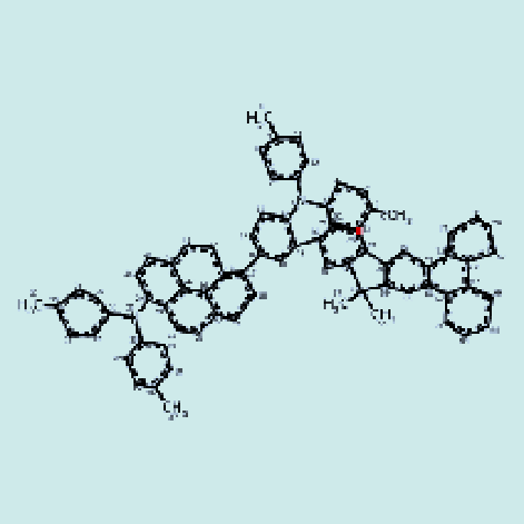 Cc1ccc(N(c2ccc(C)cc2)c2ccc(-c3ccc4ccc5c(N(c6ccc(C)cc6)c6ccc(C)cc6)ccc6ccc3c4c65)cc2-c2ccc3c(c2)C(C)(C)c2cc4c5ccccc5c5ccccc5c4cc2-3)cc1